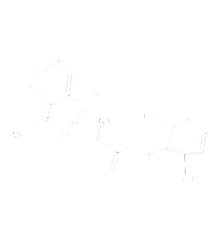 COC(=O)c1ccccc1S(=O)(=O)NCC(=O)OCc1c(C)cccc1C